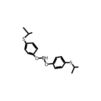 CC(C)Sc1ccc(OBOc2ccc(SC(C)C)cc2)cc1